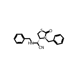 N#CC(NCc1ccccc1)[C@@H]1CSC(=O)N1Cc1ccccc1